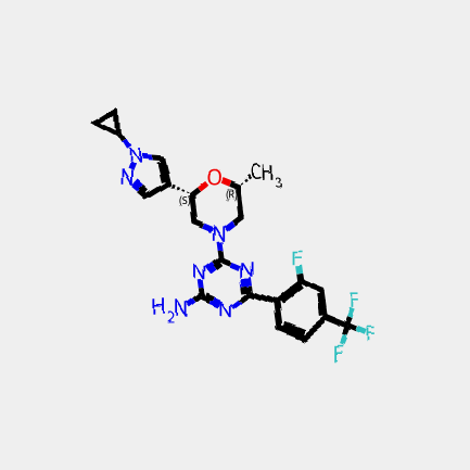 C[C@@H]1CN(c2nc(N)nc(-c3ccc(C(F)(F)F)cc3F)n2)C[C@H](c2cnn(C3CC3)c2)O1